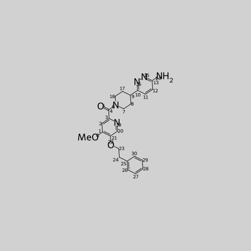 COc1cc(C(=O)N2CCC(c3ccc(N)nn3)CC2)ncc1OCCc1ccccc1